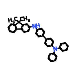 CC1(C)c2ccccc2-c2ccc(Nc3ccc(-c4ccc(N(c5ccccc5)c5ccccc5)cc4)cc3)cc21